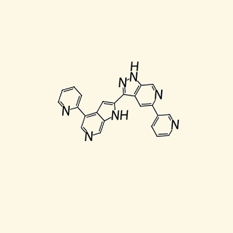 c1ccc(-c2cncc3[nH]c(-c4n[nH]c5cnc(-c6cccnc6)cc45)cc23)nc1